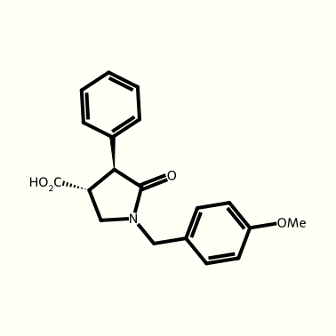 COc1ccc(CN2C[C@H](C(=O)O)[C@@H](c3ccccc3)C2=O)cc1